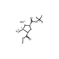 COC(=O)[C@@H]1C[C@H](C(=O)OC(C)(C)C)CN1N.Cl